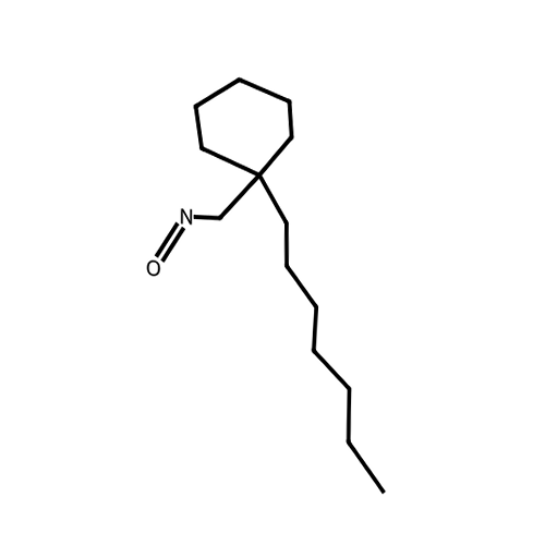 CCCCCCCC1(CN=O)CCCCC1